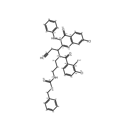 C#CCC(c1nc2cc(Cl)ccc2c(=O)n1Nc1ccccc1)N(CCCNC(=O)OCc1ccccc1)C(=O)c1cccc(Cl)c1F